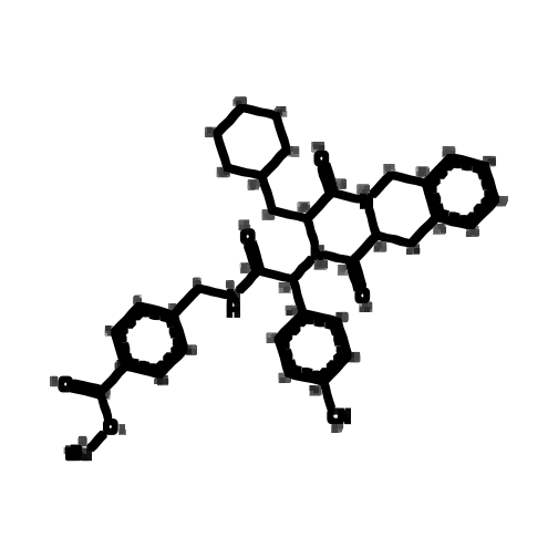 CC(C)(C)OC(=O)c1ccc(CNC(=O)C(c2ccc(C#N)cc2)N2C(=O)C3Cc4ccccc4CN3C(=O)C2CC2CCCCC2)cc1